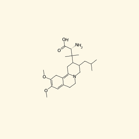 COC1=C(OC)CC2=C3CC(C(C)(C)[C@@H](N)C(=O)O)C(CC(C)C)CN3CCC2=C1